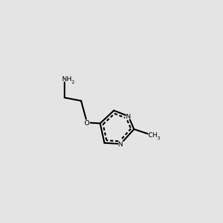 Cc1ncc(OCCN)cn1